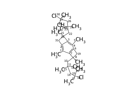 Cc1c2c(c(C)c3c1C(C)(CC(C)(C)CC(C)(C)Cl)C3)C(C)(CC(C)(C)CC(C)(C)Cl)C2